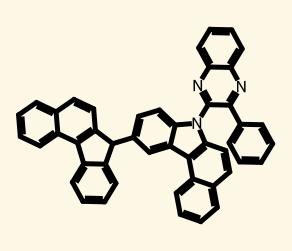 c1ccc(-c2nc3ccccc3nc2-n2c3ccc(C4c5ccccc5-c5c4ccc4ccccc54)cc3c3c4ccccc4ccc32)cc1